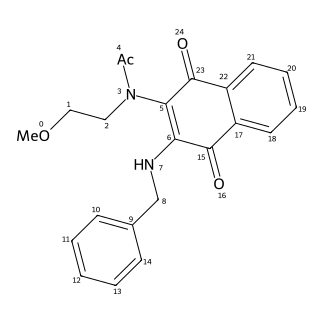 COCCN(C(C)=O)C1=C(NCc2ccccc2)C(=O)c2ccccc2C1=O